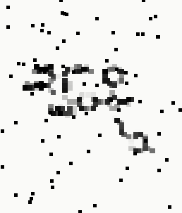 CC(=O)OC[C@H]1O[C@H](Cc2ccc([C@@H]3[C@@H](CCCc4ccc(F)cc4)C(=O)N3c3ccc(C)cc3)cc2)[C@H](CC(=O)O)[C@@H](OC(C)=O)[C@H]1OC(C)=O